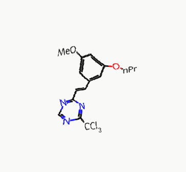 CCCOc1cc(C=Cc2ncnc(C(Cl)(Cl)Cl)n2)cc(OC)c1